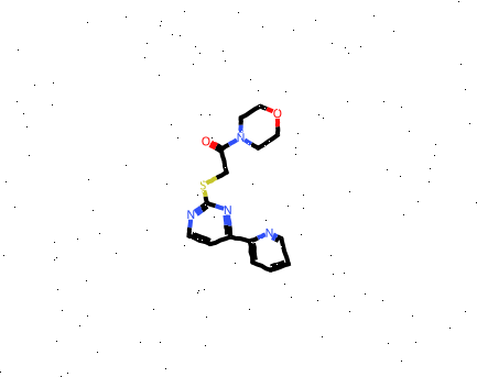 O=C(CSc1nccc(-c2ccccn2)n1)N1CCOCC1